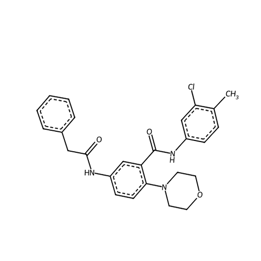 Cc1ccc(NC(=O)c2cc(NC(=O)Cc3ccccc3)ccc2N2CCOCC2)cc1Cl